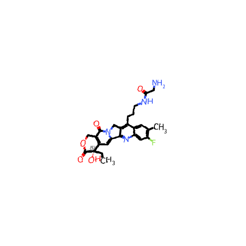 CC[C@@]1(O)C(=O)OCc2c1cc1n(c2=O)Cc2c-1nc1cc(F)c(C)cc1c2CCCNC(=O)CN